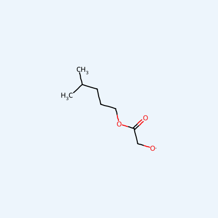 CC(C)CCCOC(=O)C[O]